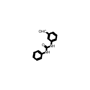 O=Cc1cccc(NC(=O)Nc2ccccc2)c1